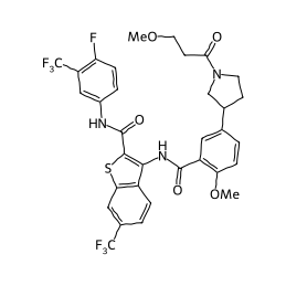 COCCC(=O)N1CCC(c2ccc(OC)c(C(=O)Nc3c(C(=O)Nc4ccc(F)c(C(F)(F)F)c4)sc4cc(C(F)(F)F)ccc34)c2)C1